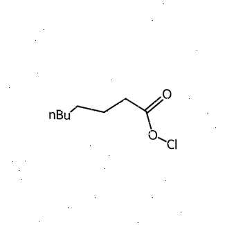 CCCCCCCC(=O)OCl